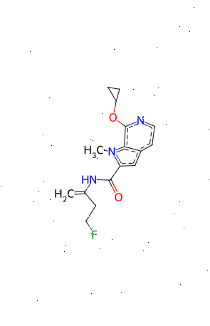 C=C(CCF)NC(=O)c1cc2ccnc(OC3CC3)c2n1C